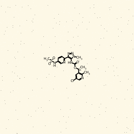 Cc1ncc(Cl)cc1[C@@H](C)OC(=O)Nc1c(-c2ccc(NS(C)(=O)=O)cn2)nnn1C